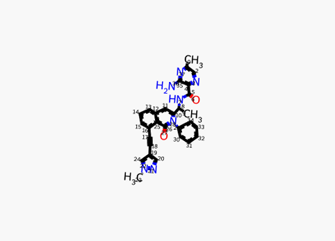 Cc1cnc(C(=O)NC(C)c2cc3cccc(C#Cc4cnn(C)c4)c3c(=O)n2-c2ccccc2)c(N)n1